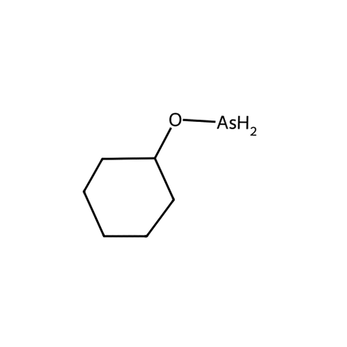 [AsH2]OC1CCCCC1